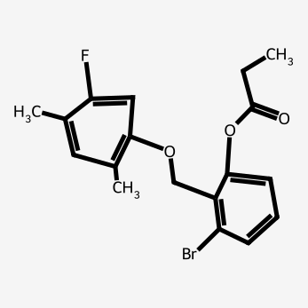 CCC(=O)Oc1cccc(Br)c1COc1cc(F)c(C)cc1C